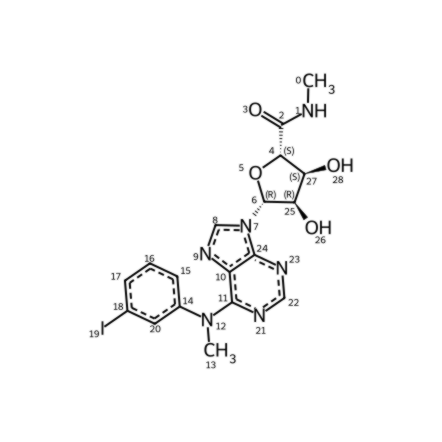 CNC(=O)[C@H]1O[C@@H](n2cnc3c(N(C)c4cccc(I)c4)ncnc32)[C@H](O)[C@@H]1O